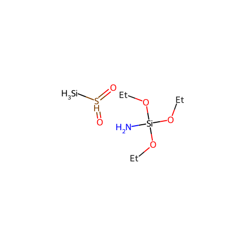 CCO[Si](N)(OCC)OCC.O=[SH](=O)[SiH3]